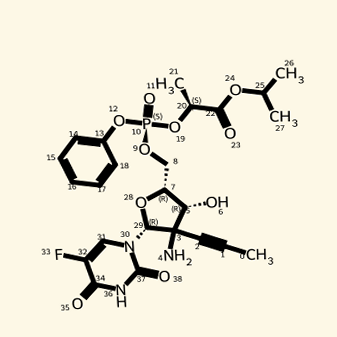 CC#CC1(N)[C@@H](O)[C@@H](CO[P@](=O)(Oc2ccccc2)O[C@@H](C)C(=O)OC(C)C)O[C@H]1n1cc(F)c(=O)[nH]c1=O